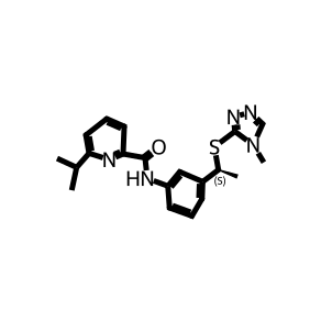 CC(C)c1cccc(C(=O)Nc2cccc([C@H](C)Sc3nncn3C)c2)n1